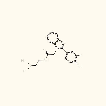 CN(C)CCNC(=O)Cn1c(-c2ccc(Cl)c(Cl)c2)nc2cccnc21